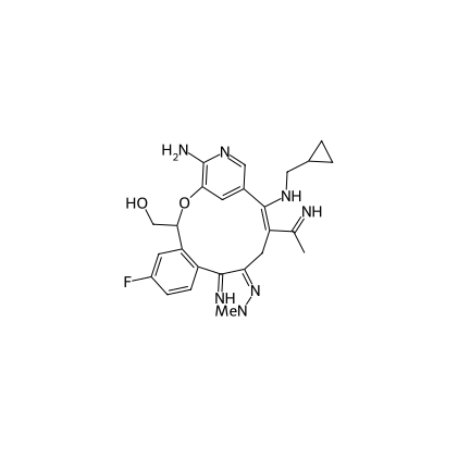 CN/N=C1/C/C(C(C)=N)=C(/NCC2CC2)c2cnc(N)c(c2)OC(CO)c2cc(F)ccc2C1=N